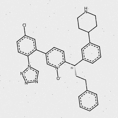 [O-][n+]1cc(-c2cc(Cl)ccc2-n2cnnn2)ccc1[C@@H](CCc1ccccc1)c1cccc(C2CCNCC2)c1